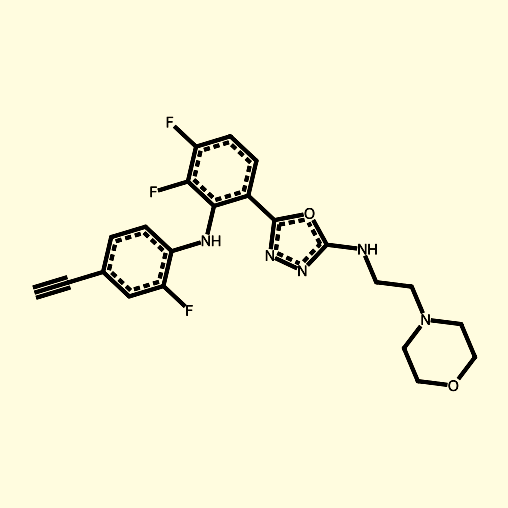 C#Cc1ccc(Nc2c(-c3nnc(NCCN4CCOCC4)o3)ccc(F)c2F)c(F)c1